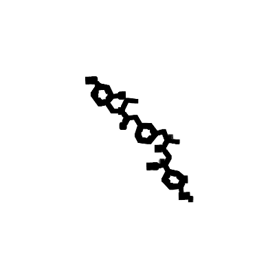 CCN(Cc1ccc(O)cc1Cl)C(=O)Cc1cccc(C[C@@H](C)NC[C@H](O)c2ccc(N)nc2)c1